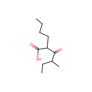 CCCCC(C(=O)O)C(=O)C(C)CC